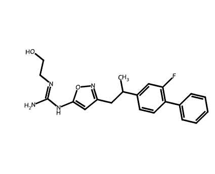 CC(Cc1cc(NC(N)=NCCO)on1)c1ccc(-c2ccccc2)c(F)c1